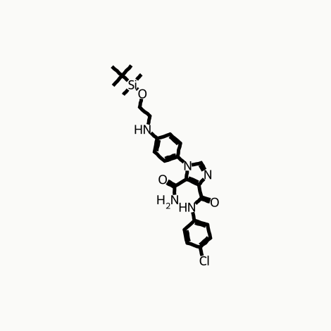 CC(C)(C)[Si](C)(C)OCCNc1ccc(-n2cnc(C(=O)Nc3ccc(Cl)cc3)c2C(N)=O)cc1